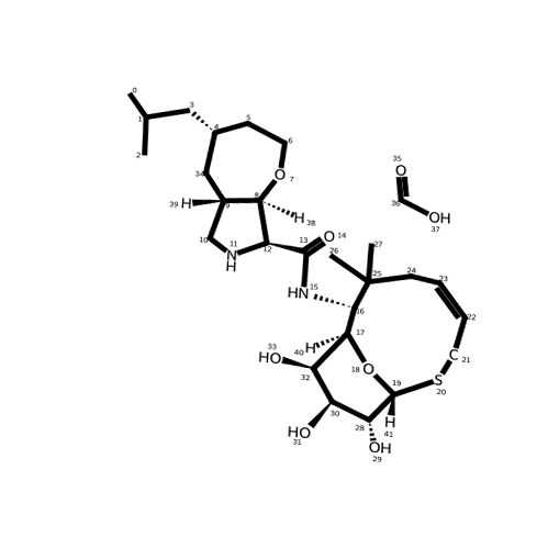 CC(C)C[C@@H]1CCO[C@@H]2[C@H](CN[C@@H]2C(=O)N[C@H]2[C@H]3O[C@H](SC/C=C\CC2(C)C)[C@H](O)[C@@H](O)[C@H]3O)C1.O=CO